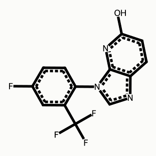 Oc1ccc2ncn(-c3ccc(F)cc3C(F)(F)F)c2n1